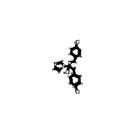 Clc1ccc(COC(Cl)(Cc2ccc(Cl)cc2)n2ccnc2)cc1